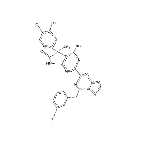 CC1(c2cc(O)c(Cl)cn2)C(=O)Nc2nc(-c3cn4ccnc4c(Cc4cccc(F)c4)n3)nc(N)c21